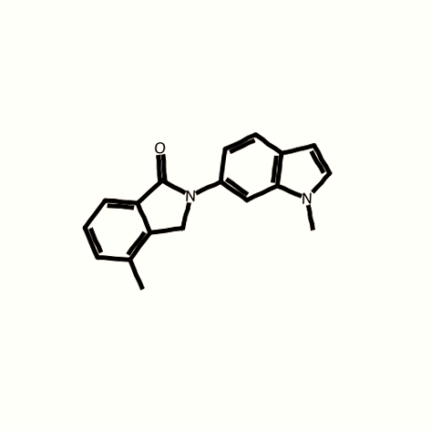 Cc1cccc2c1CN(c1ccc3ccn(C)c3c1)C2=O